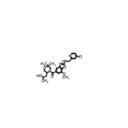 COc1cc(C(=O)N2CC(C)(C)OCC2CC(C)O)cc2nc(NCc3cc(Cl)ccn3)oc12